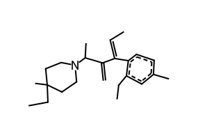 C=C(/C(=C/C)c1ccc(C)cc1CC)C(C)N1CCC(C)(CC)CC1